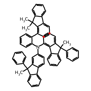 CC1(C)c2ccccc2-c2cccc(-c3ccccc3N(c3ccc4c(c3)C(C)(c3ccccc3)c3ccccc3-4)c3cccc4c3-c3ccccc3C4(C)c3ccccc3)c21